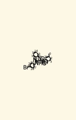 Cc1cccc(S(=O)(=O)Nc2nc3ccccc3nc2Nc2ccc(Br)cc2)c1